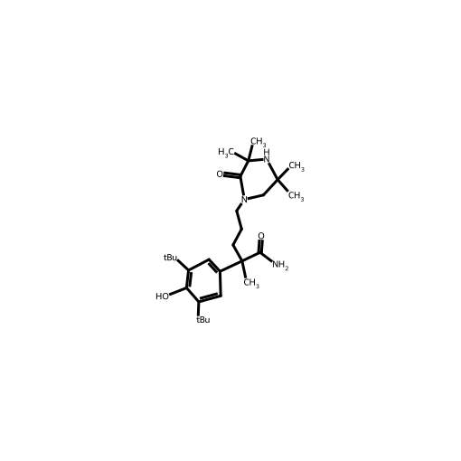 CC1(C)CN(CCCC(C)(C(N)=O)c2cc(C(C)(C)C)c(O)c(C(C)(C)C)c2)C(=O)C(C)(C)N1